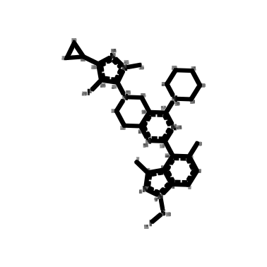 Cc1ccc2c(c(C)nn2SI)c1-c1nc2c(c(N3CCCCC3)n1)CN(c1c(F)c(C3CC3)nn1C)CC2